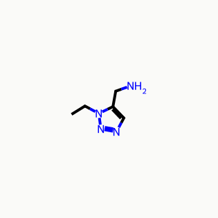 CCn1nncc1CN